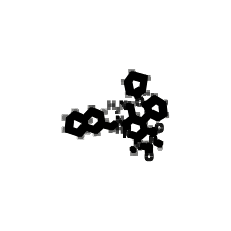 Cn1c(=O)c2c(-c3ccccc3Oc3ccccc3)c(CN)c(NCc3ccc4ccccc4c3)nc2n(C)c1=O